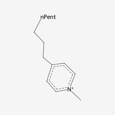 CCCCCCCCc1cc[n+](C)cc1